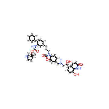 O=C(Nc1cc(CCCn2c(=O)oc3cc(CNCC(O)c4ccc(O)c5[nH]c(=O)ccc45)ccc32)ccc1-c1ccccc1)O[C@H]1CN2CCC1CC2